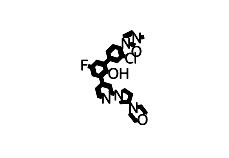 Cn1ccn(-c2ccc(-c3cc(F)cc(-c4ccnc(N5CC[C@H](N6CCOCC6)C5)c4)c3O)cc2Cl)c1=O